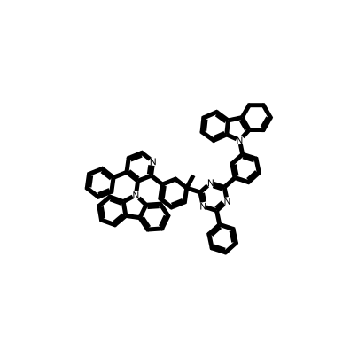 CC1(c2nc(-c3ccccc3)nc(-c3cccc(-n4c5c(c6ccccc64)CCC=C5)c3)n2)C=CC=C(c2nccc(-c3ccccc3)c2-n2c3ccccc3c3ccccc32)C1